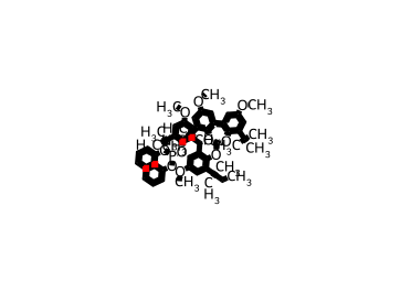 CCC(C)(C)c1cc(OC)cc(Cc2cc(OC)cc(C(C)(C)C)c2OP(Oc2ccccc2)Oc2ccccc2)c1Op1oc2c(C(C)(C)C)cc(OC)cc2c2cc(OC)cc(C(C)(C)C)c2o1